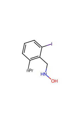 CCCc1cccc(I)c1CNO